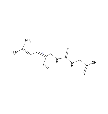 C=C/C(=C\C=C(N)N)CNC(=O)NCC(=O)O